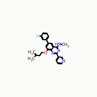 C=C(C)CCOc1cc(-c2cccc(F)c2)cc2c(NC)nc(-c3cccnc3)nc12